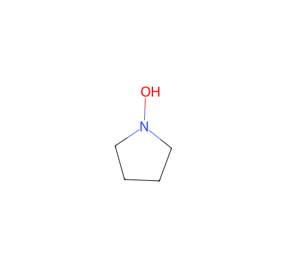 ON1CCCC1